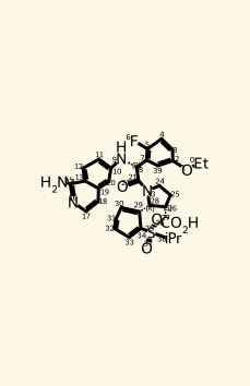 CCOc1ccc(F)c([C@@H](Nc2ccc3c(N)nccc3c2)C(=O)N2CC[C@H](C(=O)O)[C@@H]2c2ccccc2S(=O)(=O)C(C)C)c1